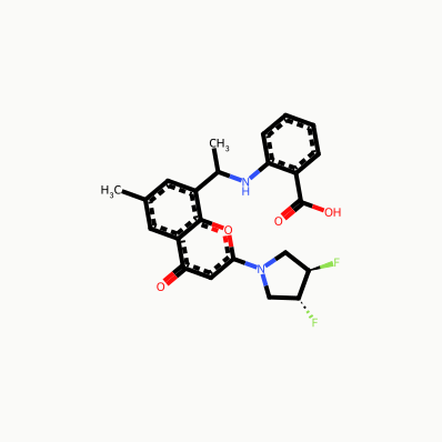 Cc1cc(C(C)Nc2ccccc2C(=O)O)c2oc(N3C[C@@H](F)[C@H](F)C3)cc(=O)c2c1